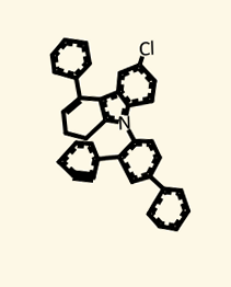 Clc1ccc2c(c1)c1c(n2-c2ccc(-c3ccccc3)cc2-c2c#cccc2)CCC=C1c1ccccc1